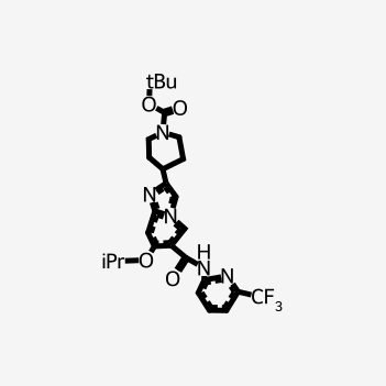 CC(C)Oc1cc2nc(C3CCN(C(=O)OC(C)(C)C)CC3)cn2cc1C(=O)Nc1cccc(C(F)(F)F)n1